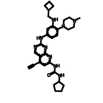 C#Cc1cc(NC(=O)NC2CCCC2)nc2nc(Nc3ccc(N4CCN(C)CC4)c(NCC4CCC4)c3)ncc12